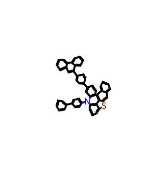 c1ccc(-c2ccc(N(c3cccc(-c4ccc(-c5cc6ccccc6c6ccccc56)cc4)c3)c3cccc4sc5cc6ccccc6cc5c34)cc2)cc1